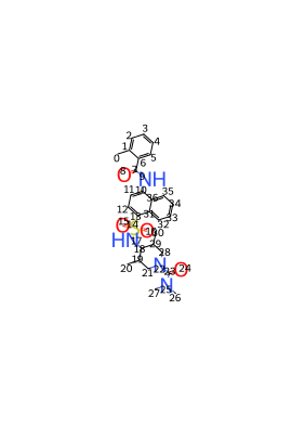 Cc1ccccc1C(=O)Nc1ccc(S(=O)(=O)NC2C(C)CN(C(=O)N(C)C)CC2C)c2ccccc12